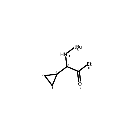 CCC(=O)C(NC(C)(C)C)C1CC1